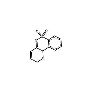 O=S1(=O)N=C2C=CCOC2c2ccccc21